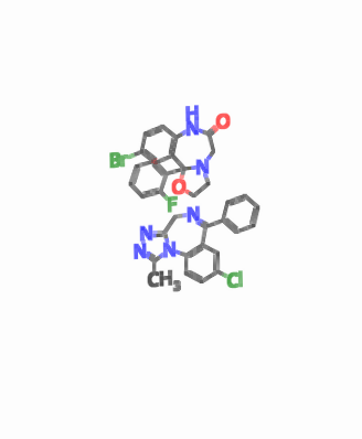 Cc1nnc2n1-c1ccc(Cl)cc1C(c1ccccc1)=NC2.O=C1CN2CCOC2(c2ccccc2F)c2cc(Br)ccc2N1